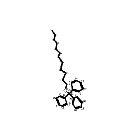 CCCCCCCCCCCCOC(c1ccccc1)(c1ccccc1)c1ccccc1